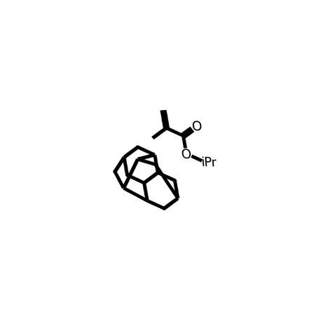 C1C2CC3C4CC5CC(C14)C(C2)C3C5.C=C(C)C(=O)OC(C)C